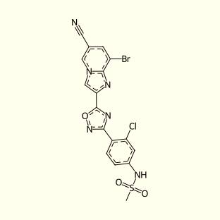 CS(=O)(=O)Nc1ccc(-c2noc(-c3cn4cc(C#N)cc(Br)c4n3)n2)c(Cl)c1